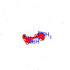 CN[C@H](C)C(=O)N[C@@H](C(=O)N1Cc2cc(OCCCCCCCCC(=O)NCCn3nc(C#N)c4c3CN(C)C(=O)c3ccc(F)cc3[C@@H](C)Oc3nc-4cnc3N)ccc2C[C@@H]1C(=O)N[C@H]1CCCc2ccccc21)C(C)(C)C